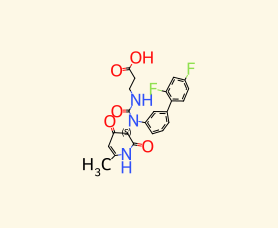 CC1=CC(=O)[C@H](N(C(=O)NCCC(=O)O)c2cccc(-c3ccc(F)cc3F)c2)C(=O)N1